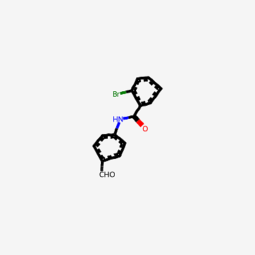 O=Cc1ccc(NC(=O)c2ccccc2Br)cc1